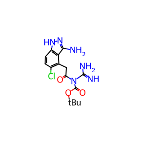 CC(C)(C)OC(=O)N(C(=N)N)C(=O)Cc1c(Cl)ccc2[nH]nc(N)c12